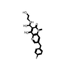 Cn1c(=O)c(C(O)NCCO)c(O)c2ncc(Cc3ccc(F)cc3)cc21